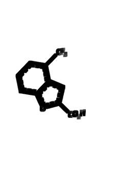 O=C(O)c1cc2c(C(F)(F)F)cccc2o1